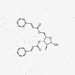 O=C(/C=C/c1ccccc1)OC[C@H]1OC(O)[C@@H](F)[C@@H]1OC(=O)/C=C/c1ccccc1